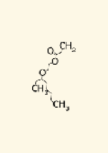 C=CC(=O)OCCOC(CC)CCCCC